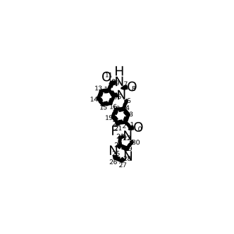 O=C(c1cc(Cn2c(=O)[nH]c(=O)c3ccccc32)ccc1F)N1Cc2nccnc2C1